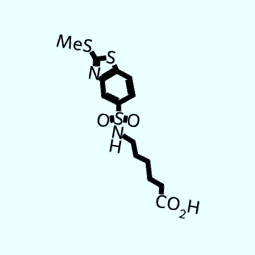 CSc1nc2cc(S(=O)(=O)NCCCCCC(=O)O)ccc2s1